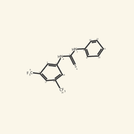 FC(F)(F)c1cc(NC(=S)Nc2cc[c]cc2)cc(C(F)(F)F)c1